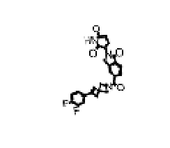 O=C1CCC(N2Cc3cc(C(=O)N4CC5(C=C(c6ccc(F)c(F)c6)C5)C4)ccc3C2=O)C(=O)N1